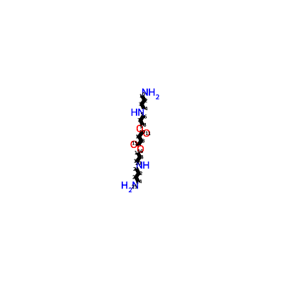 NCCCCNCCCOC(=O)CCC(=O)OCCCNCCCCN